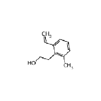 C=Cc1cccc(C)c1CCO